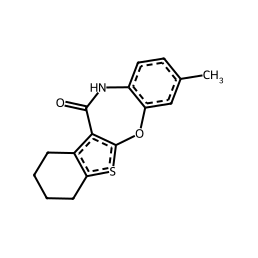 Cc1ccc2c(c1)Oc1sc3c(c1C(=O)N2)CCCC3